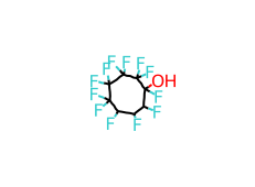 OC1(F)C(F)C(F)C(F)C(F)(F)C(F)(F)C(F)(F)C1(F)F